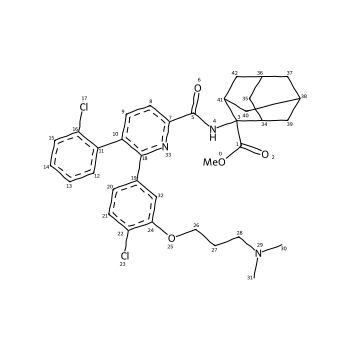 COC(=O)C1(NC(=O)c2ccc(-c3ccccc3Cl)c(-c3ccc(Cl)c(OCCCN(C)C)c3)n2)C2CC3CC(C2)CC1C3